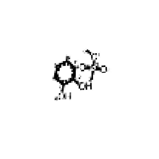 COS(C)(=O)=O.Oc1ccccc1O